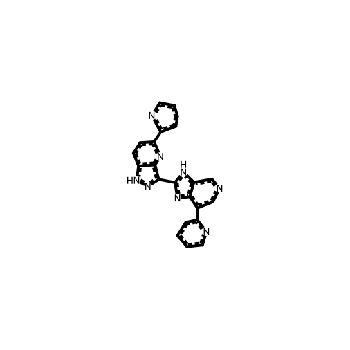 c1ccc(-c2ccc3[nH]nc(-c4nc5c(-c6ccccn6)cncc5[nH]4)c3n2)nc1